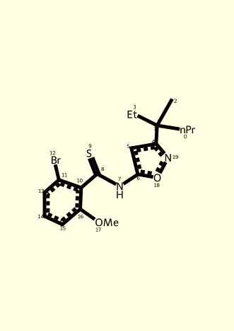 CCCC(C)(CC)c1cc(NC(=S)c2c(Br)cccc2OC)on1